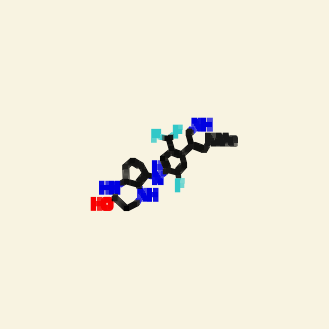 CN/C=C(\C=N)c1cc(F)c(Nc2cccc3c2NCCC(O)N3)cc1C(F)F